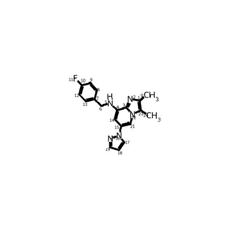 Cc1nc2c(NCc3ccc(F)cc3)cc(-n3cccn3)cn2c1C